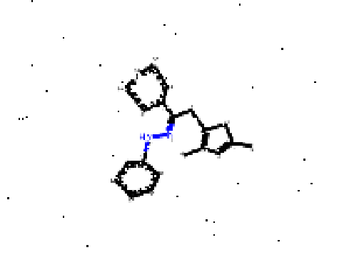 CC1=CC(C)=C(CC(=NNc2ccccc2)c2ccccc2)C1